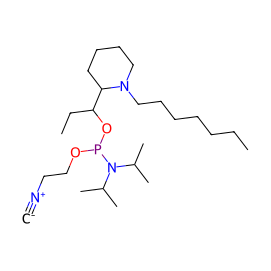 [C-]#[N+]CCOP(OC(CC)C1CCCCN1CCCCCCC)N(C(C)C)C(C)C